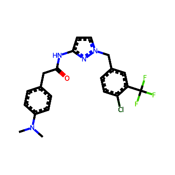 CN(C)c1ccc(CC(=O)Nc2ccn(Cc3ccc(Cl)c(C(F)(F)F)c3)n2)cc1